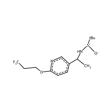 CC(N[S+]([O-])C(C)(C)C)c1ccc(OCCC(F)(F)F)nc1